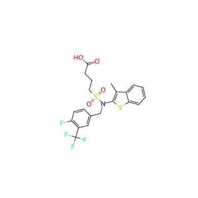 Cc1c(N(Cc2ccc(F)c(C(F)(F)F)c2)S(=O)(=O)CCCC(=O)O)sc2ccccc12